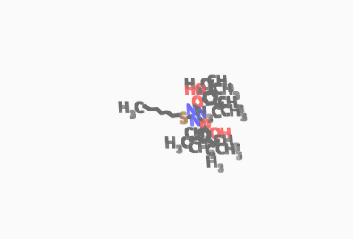 CCCCCCCCSc1nc(Oc2cc(C(C)(C)C)cc(C(C)(C)C)c2O)nc(Oc2cc(C(C)(C)C)cc(C(C)(C)C)c2O)n1